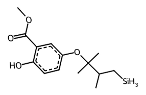 COC(=O)c1cc(OC(C)(C)C(C)C[SiH3])ccc1O